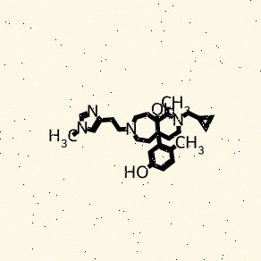 Cc1ccc(O)cc1C12CCN(CCc3cn(C)cn3)CCC1(O)C(C)N(CC1CC1)CC2